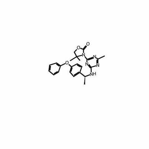 Cc1nc(N[C@@H](C)c2ccc(Oc3ccccc3)cc2)nc(N2C(=O)OCC2(C)C)n1